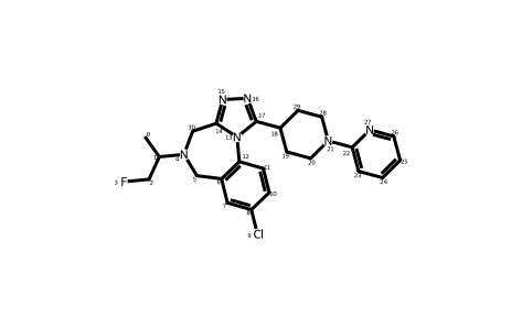 CC(CF)N1Cc2cc(Cl)ccc2-n2c(nnc2C2CCN(c3ccccn3)CC2)C1